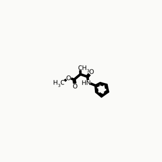 COC(=O)C(C)C(=O)Nc1[c]cccc1